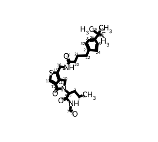 CCCC(C(=O)NC=O)N1Cc2c(csc2CNC(=O)CCCc2ccc(C(C)(C)C)cc2)C1=O